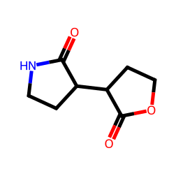 O=C1NCCC1C1CCOC1=O